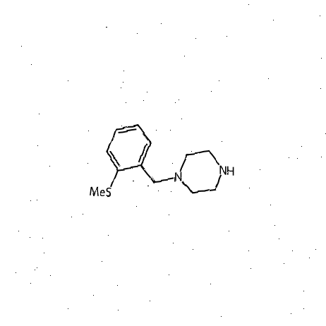 CSc1ccccc1CN1CCNCC1